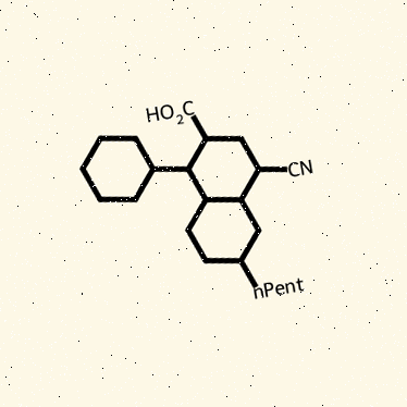 CCCCCC1CCC2C(C1)C(C#N)CC(C(=O)O)C2C1CCCCC1